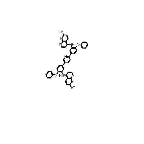 CC(C)c1ccc2c(Nc3cc(-c4ccc(-c5ccc(Sc6ccccc6)c(Nc6ccnc7nc(C(C)C)ccc67)c5)nc4)ccc3Sc3ccccc3)ccnc2n1